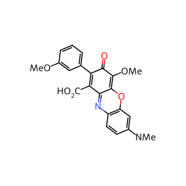 CNc1ccc2nc3c(C(=O)O)c(-c4cccc(OC)c4)c(=O)c(OC)c-3oc2c1